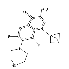 O=C(O)c1cn(C23CC(C2)C3)c2c(F)c(N3CCNCC3)c(F)cc2c1=O